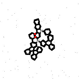 c1ccc(-c2cc3c(cc2N(c2ccc4c5ccccc5c5ccccc5c4c2)c2ccc4c5cc6ccccc6cc5n(-c5ccccc5)c4c2)C2(c4ccccc4-c4ccccc42)c2ccccc2-3)cc1